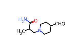 CC(CN1CCC(C=O)CC1)C(N)=O